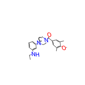 CCNc1cccc(N2CCN(C(=O)c3cc(C)c(OC)c(C)c3)CC2)c1